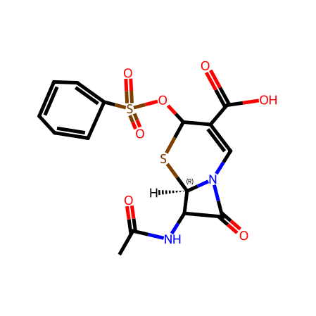 CC(=O)NC1C(=O)N2C=C(C(=O)O)C(OS(=O)(=O)c3ccccc3)S[C@H]12